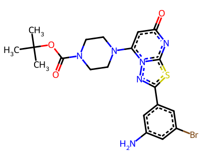 CC(C)(C)OC(=O)N1CCN(c2cc(=O)nc3sc(-c4cc(N)cc(Br)c4)nn23)CC1